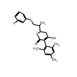 Cc1cc(C)c(C2=C(O)CC(C(C)CSc3cccc(F)c3)OC2=O)c(C)c1